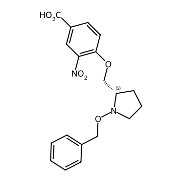 O=C(O)c1ccc(OC[C@@H]2CCCN2OCc2ccccc2)c([N+](=O)[O-])c1